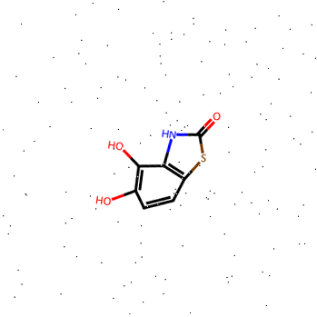 O=c1[nH]c2c(O)c(O)ccc2s1